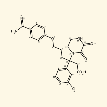 N=C(N)c1ccc(OCCCC(CC(=O)O)(c2cccc(Cl)c2)N2CCNC(=O)C2=O)cc1